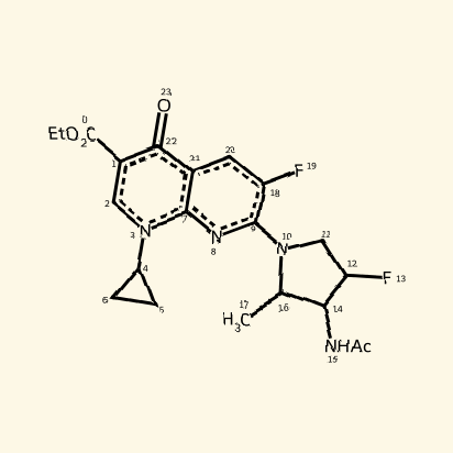 CCOC(=O)c1cn(C2CC2)c2nc(N3CC(F)C(NC(C)=O)C3C)c(F)cc2c1=O